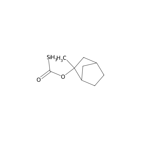 CC1(OC(=O)[SiH3])CC2CCC1C2